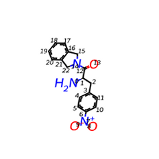 N[C@H](Cc1ccc([N+](=O)[O-])cc1)C(=O)N1Cc2ccccc2C1